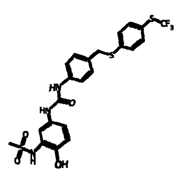 CS(=O)(=O)Nc1cc(NC(=O)Nc2ccc(CSc3ccc(SC(F)(F)F)cc3)cc2)ccc1O